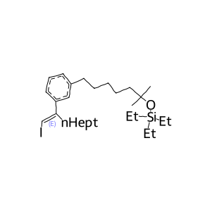 CCCCCCC/C(=C\I)c1cccc(CCCCCC(C)(C)O[Si](CC)(CC)CC)c1